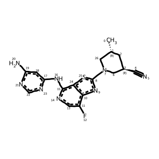 C[C@@H]1C[C@@H](C#N)CN(c2nc3c(F)cnc(Nc4cc(N)ncn4)c3s2)C1